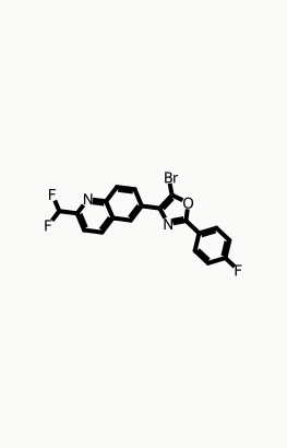 Fc1ccc(-c2nc(-c3ccc4nc(C(F)F)ccc4c3)c(Br)o2)cc1